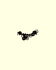 Cn1c(=O)ccc2cc(OCCCCCN(CCc3cccnc3)S(=O)(=O)c3ccccc3[N+](=O)[O-])ccc21